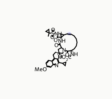 COc1ccc2c3c(c(C4CC4)nc2c1)O[C@]1(CC3)CC2C(=O)NC3(C(=O)NS(=O)(=O)C4(C)CC4)CC3/C=C\CCCCC[C@H](NC(=O)O)C(=O)N2C1